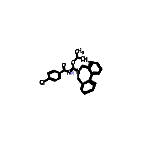 CC(C)O/C(=N\C(=O)c1ccc(Cl)cc1)N1Cc2ccccc2-c2ccccc2C1